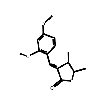 COc1ccc(C=C2C(=O)OC(C)C2C)c(OC)c1